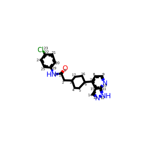 O=C(CC1CCC(c2ccnc3[nH]ncc23)CC1)Nc1ccc(Cl)cc1